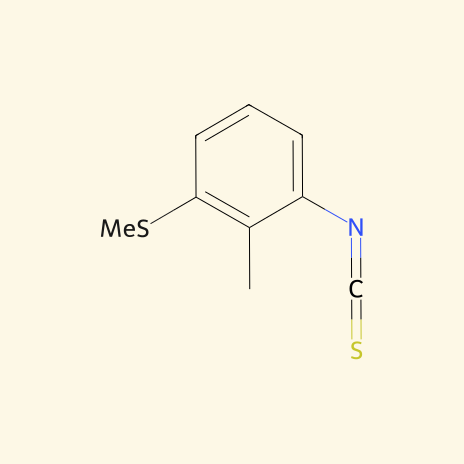 CSc1cccc(N=C=S)c1C